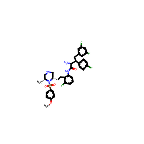 COc1ccc(S(=O)(=O)N2[C@@H](CCc3c(F)cccc3NC(=O)[C@@H](N)C(Cc3cc(F)cc(F)c3)c3ccc(F)cc3)CNC[C@H]2C)cc1